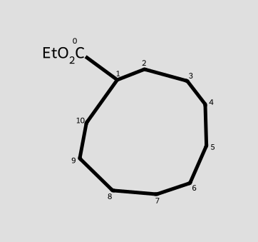 CCOC(=O)C1CCCCCCCCC1